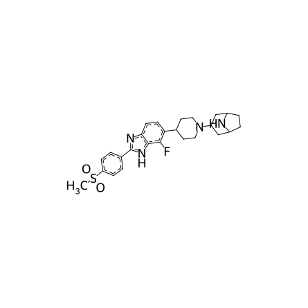 CS(=O)(=O)c1ccc(-c2nc3ccc(C4CCN(C5CC6CCC(C5)N6)CC4)c(F)c3[nH]2)cc1